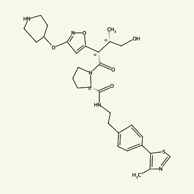 Cc1ncsc1-c1ccc(CCNC(=O)[C@@H]2CCCN2C(=O)[C@H](c2cc(OC3CCNCC3)no2)[C@H](C)CO)cc1